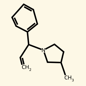 C=CC(c1ccccc1)N1CCC(C)C1